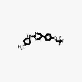 CC1CCC(Nc2ncc(-c3ccc(OCC(F)(F)F)cc3)cn2)CC1